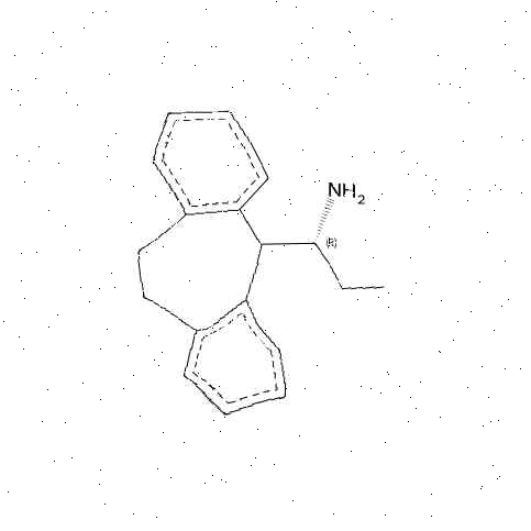 CC[C@@H](N)C1c2ccccc2CCc2ccccc21